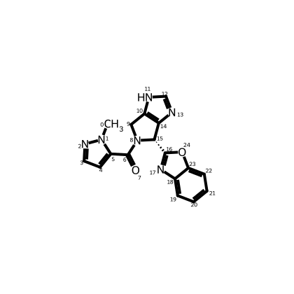 Cn1nccc1C(=O)N1Cc2[nH]cnc2[C@@H]1c1nc2ccccc2o1